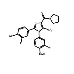 COc1ncc(-n2c(-c3ccc(C#N)c(F)c3)nc(C(=O)N3CCCC3)c2C(F)(F)F)cc1F